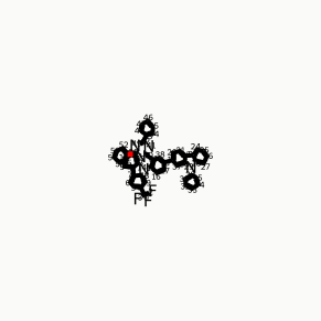 FC(F)(F)c1ccc2c3ccccc3n(-c3ccc(-c4ccc5c6ccccc6n(-c6ccccc6)c5c4)cc3-c3nc(-c4ccccc4)nc(-c4ccccc4)n3)c2c1